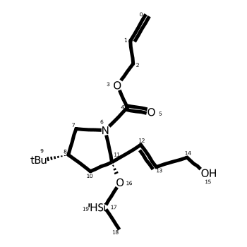 C=CCOC(=O)N1C[C@@H](C(C)(C)C)C[C@@]1(/C=C/CO)O[SiH](C)C